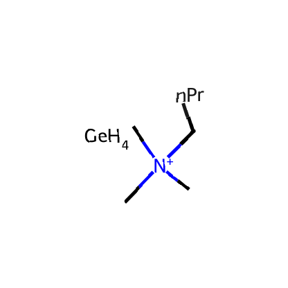 CCCC[N+](C)(C)C.[GeH4]